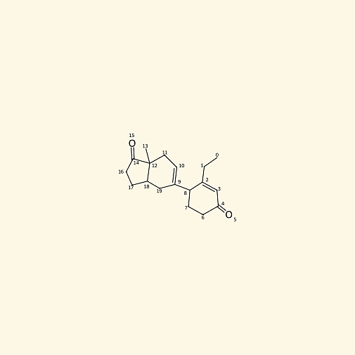 CCC1=CC(=O)CCC1C1=CCC2(C)C(=O)CCC2C1